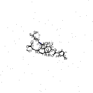 CO[C@H]1C[C@H]2C=C[C@H]3[C@H]4O[C@]2(/C(C)=C/[C@@H](C)[C@@H]([C@@H](C)O)OC1=O)[C@@H]3[C@H](O)[C@@H](C)[C@H]4OC(=O)c1ccc(Br)[nH]1